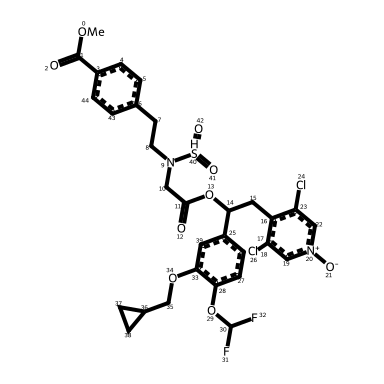 COC(=O)c1ccc(CCN(CC(=O)OC(Cc2c(Cl)c[n+]([O-])cc2Cl)c2ccc(OC(F)F)c(OCC3CC3)c2)[SH](=O)=O)cc1